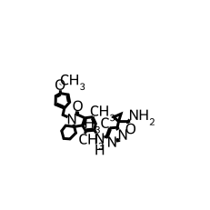 COc1ccc(CN2C(=O)c3c(C)cc(Nc4ncnc(C5(C(N)=O)CC5)c4C)c(C)c3C23CCCCC3)cc1